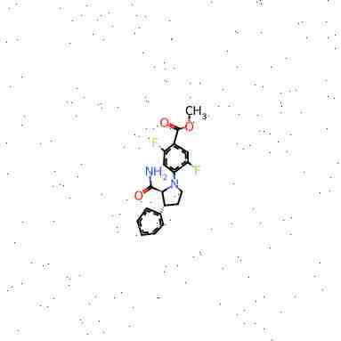 COC(=O)c1cc(F)c(N2CC[C@H](c3ccccc3)[C@H]2C(N)=O)cc1F